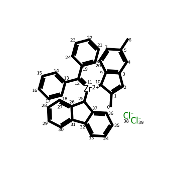 CC1=Cc2cc(C)ccc2[CH]1[Zr+2](=[C](c1ccccc1)c1ccccc1)[CH]1c2ccccc2-c2ccccc21.[Cl-].[Cl-]